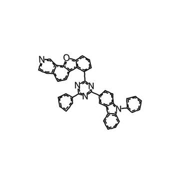 c1ccc(-c2nc(-c3ccc4c(c3)c3ccccc3n4-c3ccccc3)nc(-c3cccc4oc5c6cnccc6ccc5c34)n2)cc1